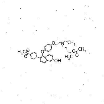 CCN(CCCC(C)OC(C)=O)CCOc1ccc(Oc2c(-c3ccc(S(C)(=O)=O)cc3)ccc3cc(O)ccc23)cc1